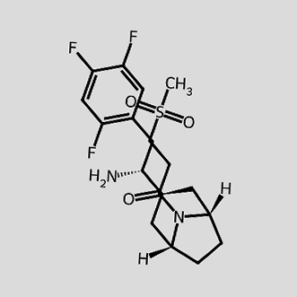 CS(=O)(=O)CCC(=O)N1[C@@H]2CC[C@H]1C[C@H]([C@H](N)Cc1cc(F)c(F)cc1F)C2